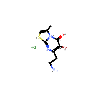 Cc1csc2nc(CCN)c(Br)c(=O)n12.Cl